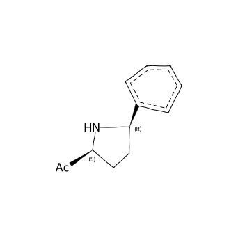 CC(=O)[C@@H]1CC[C@H](c2ccccc2)N1